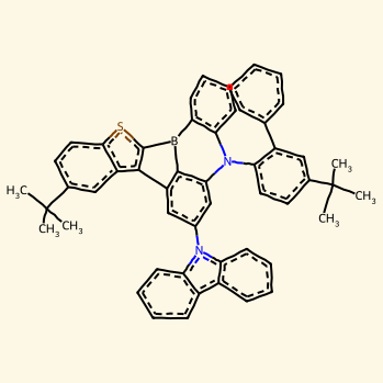 CC(C)(C)c1ccc(N2c3ccccc3B3c4sc5ccc(C(C)(C)C)cc5c4-c4cc(-n5c6ccccc6c6ccccc65)cc2c43)c(-c2ccccc2)c1